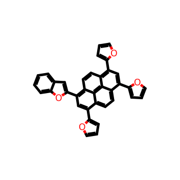 c1coc(-c2cc(-c3ccco3)c3ccc4c(-c5cc6ccccc6o5)cc(-c5ccco5)c5ccc2c3c54)c1